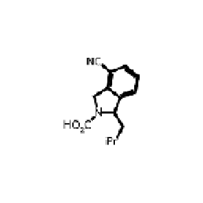 CC(C)CC1c2cccc(C#N)c2CN1C(=O)O